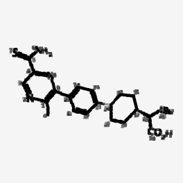 Cc1ncc(C(N)=S)nc1-c1ccc([C@H]2CC[C@H](C(C(=O)O)C(C)(C)C)CC2)cc1